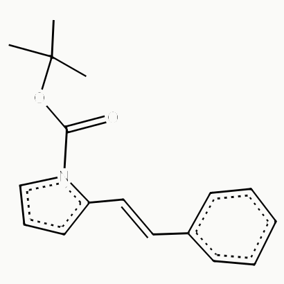 CC(C)(C)OC(=O)n1cccc1C=Cc1ccccc1